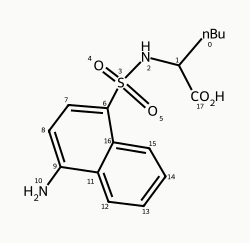 CCCCC(NS(=O)(=O)c1ccc(N)c2ccccc12)C(=O)O